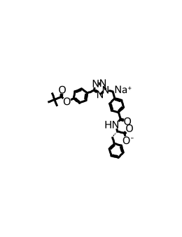 CC(C)(C)C(=O)Oc1ccc(-c2nnn(Cc3ccc(C(=O)N[C@@H](Cc4ccccc4)C(=O)[O-])cc3)n2)cc1.[Na+]